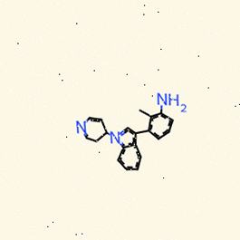 Cc1c(N)cccc1-c1cn(C2C=CN=CC2)c2ccccc12